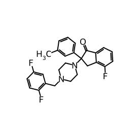 Cc1cccc(C2(N3CCN(Cc4cc(F)ccc4F)CC3)Cc3c(F)cccc3C2=O)c1